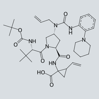 C=CCN(C(=O)Nc1ccccc1N1CCCCC1)[C@@H]1C[C@@H](C(=O)NC2(C(=O)O)CC2C=C)N(C(=O)[C@@H](NC(=O)OC(C)(C)C)C(C)(C)C)C1